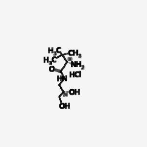 CC(C)(C)[C@H](N)C(=O)NC[C@H](O)CO.Cl